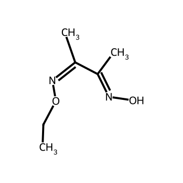 CCON=C(C)C(C)=NO